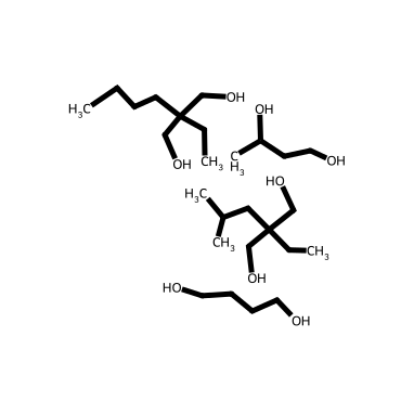 CC(O)CCO.CCC(CO)(CO)CC(C)C.CCCCC(CC)(CO)CO.OCCCCO